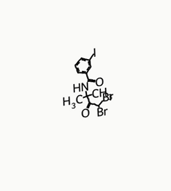 CC(C)(NC(=O)c1cccc(I)c1)C(=O)C(Br)Br